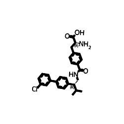 CC(C)[C@@H](CNC(=O)c1ccc(C[C@@H](N)C(=O)O)cc1)c1ccc(-c2cccc(Cl)c2)cc1